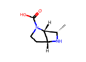 C[C@@H]1N[C@@H]2CCN(C(=O)O)[C@H]12